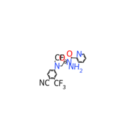 N#Cc1ccc(N(CC(=O)N(N)C(=O)c2ccccn2)CC(F)(F)F)cc1C(F)(F)F